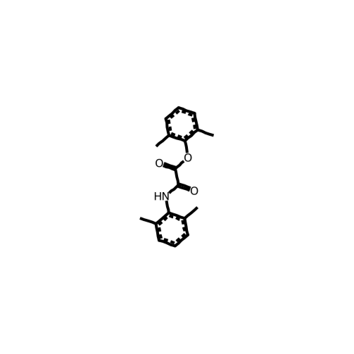 Cc1cccc(C)c1NC(=O)C(=O)Oc1c(C)cccc1C